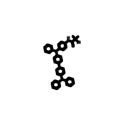 CCC(C)(C)C(=O)Nc1ccc(N(c2ccccc2)c2ccc(-c3ccc(N(c4ccccc4)c4ccccc4)cc3)cc2)cc1